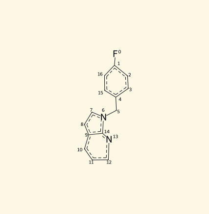 Fc1ccc(Cn2ccc3cccnc32)cc1